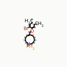 C=C/C=C(Br)\C(=C/C=C)OC/C1=C/CCCN(P)CCCCC1